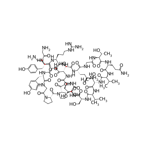 CC(C)[C@H](NC(=O)[C@H](CCC(N)=O)NC(=O)[C@@H](NC(=O)CNC(=O)[C@H](CCC(N)=O)NC(=O)CNC(=O)[C@H](CCCNC(=N)N)NC(=O)[C@H](Cc1ccc(O)cc1)NC(=O)CN)[C@@H](C)O)C(=O)N[C@H](C(=O)N[C@H](C(=O)N[C@@H](CO)C(=O)N[C@@H](CO)C(=O)N[C@@H](CCC(=O)O)C(=O)N[C@@H](CO)C(=O)N[C@@H](CCCCN)C(=O)N[C@@H](Cc1ccc(O)cc1)C(=O)NCC(=O)N1CCC[C@H]1C(=O)N1CCC[C@H]1C(=O)O)C(C)C)[C@@H](C)O